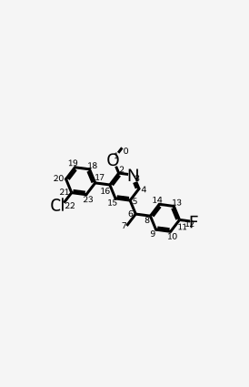 COc1ncc(C(C)c2ccc(F)cc2)cc1-c1cccc(Cl)c1